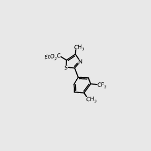 CCOC(=O)c1sc(-c2ccc(C)c(C(F)(F)F)c2)nc1C